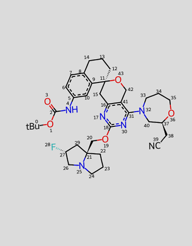 CC(C)(C)OC(=O)Nc1ccc2c(c1)[C@]1(CCC2)Cc2nc(OC[C@@]34CCCN3C[C@H](F)C4)nc(N3CCCO[C@@H](CC#N)C3)c2CO1